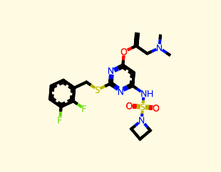 C=C(CN(C)C)Oc1cc(NS(=O)(=O)N2CCC2)nc(SCc2cccc(F)c2F)n1